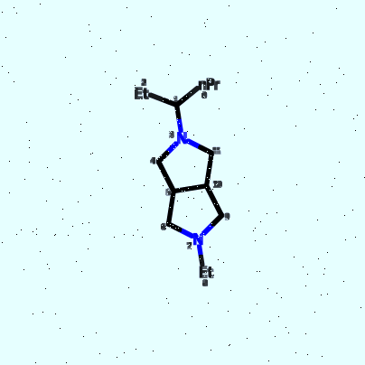 CCCC(CC)N1CC2CN(CC)CC2C1